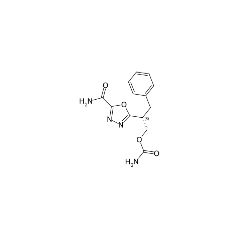 NC(=O)OC[C@@H](Cc1ccccc1)c1nnc(C(N)=O)o1